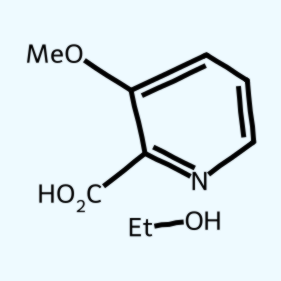 CCO.COc1cccnc1C(=O)O